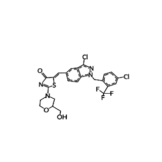 O=C1N=C(N2CCOC(CO)C2)S/C1=C\c1ccc2c(c1)c(Cl)nn2Cc1ccc(Cl)cc1C(F)(F)F